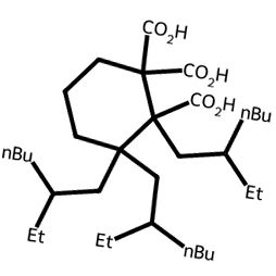 CCCCC(CC)CC1(CC(CC)CCCC)CCCC(C(=O)O)(C(=O)O)C1(CC(CC)CCCC)C(=O)O